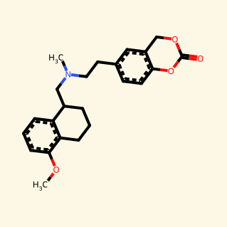 COc1cccc2c1CCCC2CN(C)CCc1ccc2c(c1)COC(=O)O2